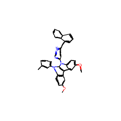 COc1ccc2c(c1)c1c3cc(OC)ccc3n(-c3cc(-c4cccc5ccccc45)ncn3)c1n2-c1cccc(C)c1